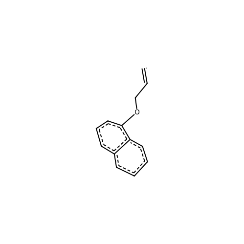 [CH]=CCOc1cccc2ccccc12